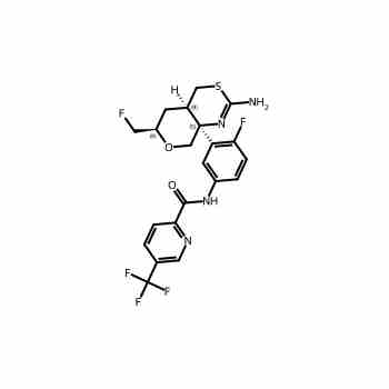 NC1=N[C@@]2(c3cc(NC(=O)c4ccc(C(F)(F)F)cn4)ccc3F)CO[C@@H](CF)C[C@H]2CS1